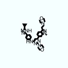 Cn1nc(CCN2CCOCC2)c2ccc(-c3cc(Nc4ccc(-c5nnc(C6CC6)[nH]5)cc4)nc(N4CCOCC4)n3)cc21